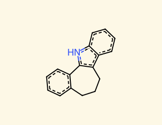 c1ccc2c(c1)CCCc1c-2[nH]c2ccccc12